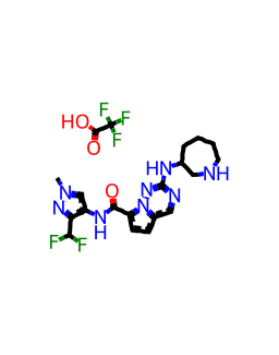 Cn1cc(NC(=O)c2ccc3cnc(NC4CCCCNC4)nn23)c(C(F)F)n1.O=C(O)C(F)(F)F